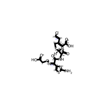 Nc1nc(/C(=N/OCC(=O)O)C(=O)NC2C(=O)N3C(C(=O)O)=C(/C=C/Cl)CS[C@H]23)cs1